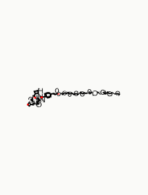 COCCOCCOCCOCCOCCOCCOCCOCCOCCOC(=O)/C=C/c1ccc(-c2nc3c(=O)n(CC4CCC4)c(=O)n(CC4CCC4)c3[nH]2)cc1